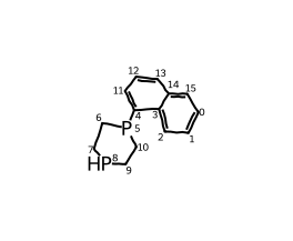 c1ccc2c(P3CCPCC3)cccc2c1